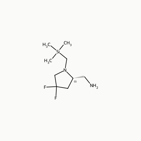 C[Si](C)(C)CN1CC(F)(F)C[C@H]1CN